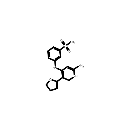 CS(=O)(=O)c1cccc(NC2=C(C3CCCO3)CNC(N)=C2)c1